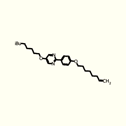 C=CCCCCCCOc1ccc(-c2ncc(OCCCCCC(C)CC)cn2)cc1